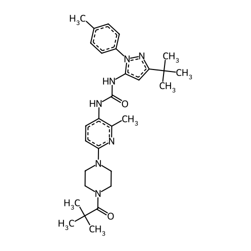 Cc1ccc(-n2nc(C(C)(C)C)cc2NC(=O)Nc2ccc(N3CCN(C(=O)C(C)(C)C)CC3)nc2C)cc1